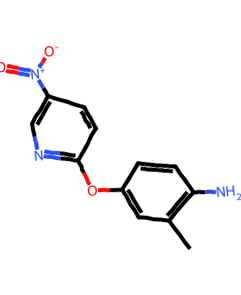 Cc1cc(Oc2ccc([N+](=O)[O-])cn2)ccc1N